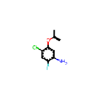 C=C(C)Oc1cc(N)c(F)cc1Cl